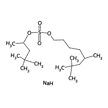 CC(CCCCOS(=O)(=O)OC(C)CC(C)(C)C)CC(C)(C)C.[NaH]